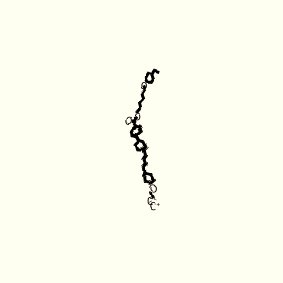 [CH2+][CH-]CCOC1CCC(CCCCC2CCC(c3ccc(C(=O)OCCCCCCOC4CCC(CC)CC4)cc3)CC2)CC1